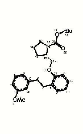 COc1cccc(CCc2ccccc2OC[C@@H]2CCCN2C(=O)OC(C)(C)C)c1